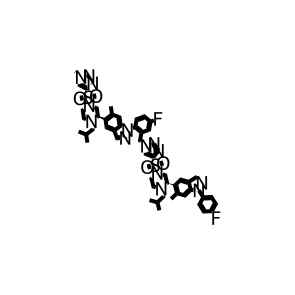 Cc1cc2c(cnn2-c2ccc(F)cc2)cc1[C@H]1CN(S(=O)(=O)c2cn(Cc3cc(F)ccc3-n3ncc4cc([C@@H]5CN(S(=O)(=O)c6cn(C)nn6)CCN5CC(C)C)c(C)cc43)nn2)CCN1CC(C)C